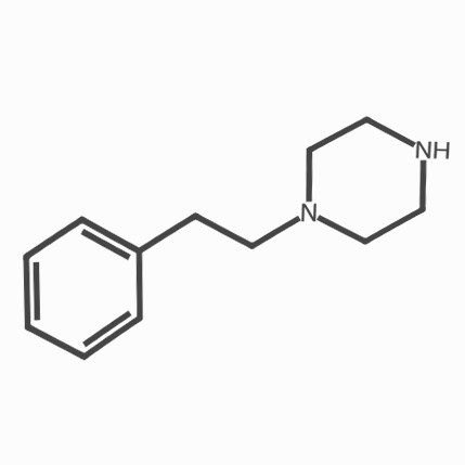 c1ccc(CCN2CCNCC2)cc1